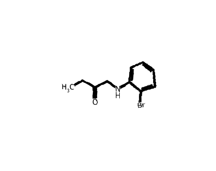 CCC(=O)CNc1ccccc1Br